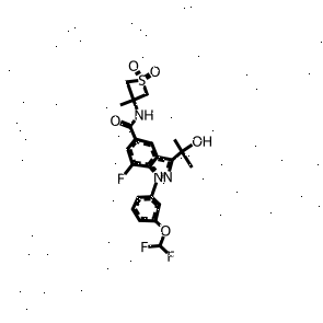 CC1(NC(=O)c2cc(F)c3c(c2)c(C(C)(C)O)nn3-c2cccc(OC(F)F)c2)CS(=O)(=O)C1